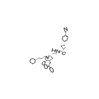 COC(=O)C[C@@H]1C[C@@H](CCNC(=O)[C@H]2C[C@@H](c3ccc(C#N)cc3)C2)N(CCCc2ccccc2)C1=O